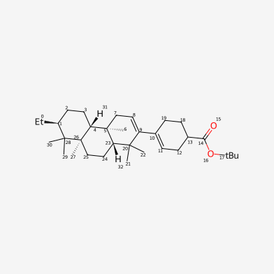 CC[C@H]1CC[C@@H]2[C@@]3(C)CC=C(C4=CCC(C(=O)OC(C)(C)C)CC4)C(C)(C)[C@@H]3CC[C@@]2(C)C1(C)C